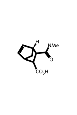 CNC(=O)C1C(C(=O)O)C2C=C[C@H]1C2